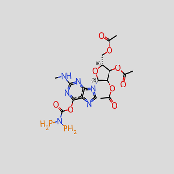 CNc1nc(OC(=O)N(P)P)c2ncn([C@@H]3O[C@H](COC(C)=O)C(OC(C)=O)C3OC(C)=O)c2n1